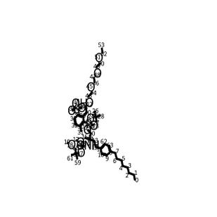 CCCCCCCCc1ccc(CCC(COCOC)(COP(=O)(OC(C)(C)C)c2c(C)ccc(S(=O)(=O)O)c2CCOCCOCCOCCOCC)NC(=O)OC(C)(C)C)cc1